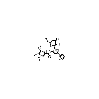 CCCc1cc(=O)[nH]c(-n2nc(-c3ccco3)cc2NC(=O)c2cc(OC)c(OC)c(OC)c2)n1